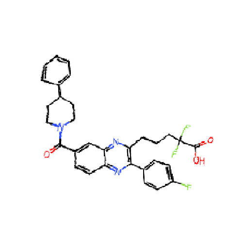 O=C(c1ccc2nc(-c3ccc(F)cc3)c(CCCC(F)(F)C(=O)O)nc2c1)N1CCC(c2ccccc2)CC1